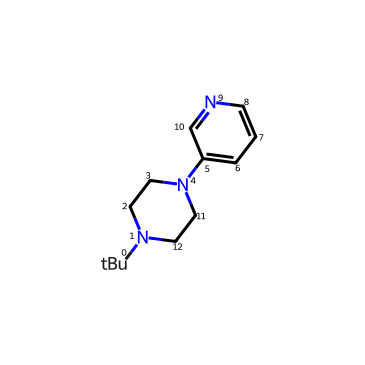 CC(C)(C)N1CCN(c2cccnc2)CC1